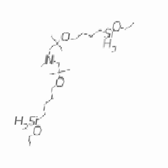 CCO[SiH2]CCCCOC(C)(C)CN(C)CC(C)(C)OCCCC[SiH2]OCC